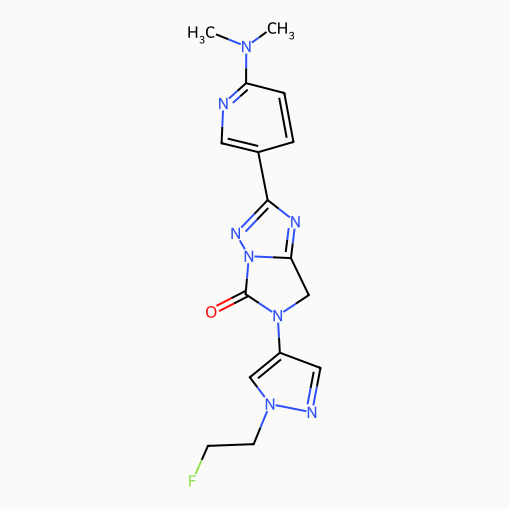 CN(C)c1ccc(-c2nc3n(n2)C(=O)N(c2cnn(CCF)c2)C3)cn1